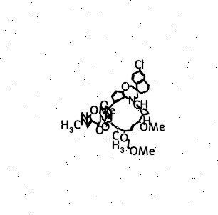 COCCO[C@H]1/C=C/[C@H](OC)[C@@H]2CC[C@H]2CN2C[C@@]3(CCCc4cc(Cl)ccc43)COc3ccc(cc32)C(=O)N=S(=O)(NC(=O)c2cn(C)nc2OC)C[C@H]1C